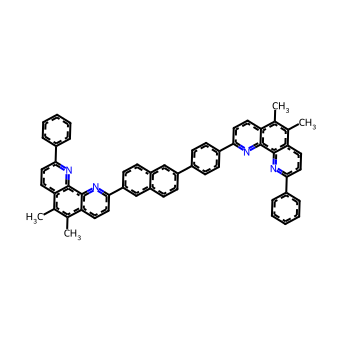 Cc1c(C)c2ccc(-c3ccc(-c4ccc5cc(-c6ccc7c(C)c(C)c8ccc(-c9ccccc9)nc8c7n6)ccc5c4)cc3)nc2c2nc(-c3ccccc3)ccc12